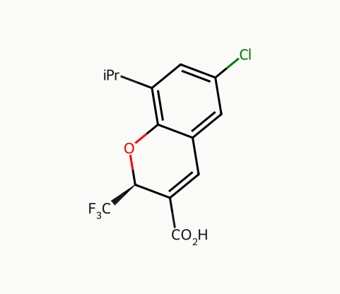 CC(C)c1cc(Cl)cc2c1O[C@H](C(F)(F)F)C(C(=O)O)=C2